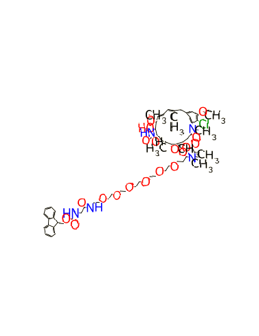 COc1cc2cc(c1Cl)N(C)C(=O)C[C@H](OC(=O)[C@H](C)N(C)C(=O)CCOCCOCCOCCOCCOCCOCCNC(=O)CNC(=O)OCC1c3ccccc3-c3ccccc31)[C@]1(C)OC1[C@H](C)[C@@H]1C[C@@](O)(NC(=O)O1)[C@H](OC)/C=C/C=C(\C)C2